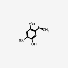 C=Nc1cc(O)c(C(C)(C)C)cc1C(C)(C)C